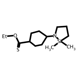 CCOC(=S)C1CCC(N2CCC[Si]2(C)C)CC1